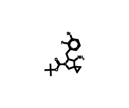 CC(C)(C)OC(=O)N1CC2(CC2)C(N)C1Cc1cccc(Br)c1F